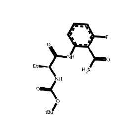 CC[C@H](NC(=O)OC(C)(C)C)C(=O)Nc1cccc(F)c1C(N)=O